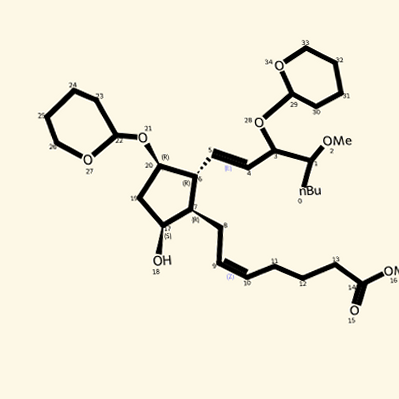 CCCCC(OC)C(/C=C/[C@@H]1[C@@H](C/C=C\CCCC(=O)OC)[C@@H](O)C[C@H]1OC1CCCCO1)OC1CCCCO1